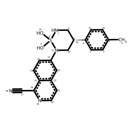 Cc1ccc([C@H]2CNS(O)(O)N(c3ccc4c(C#N)nccc4c3)C2)cc1